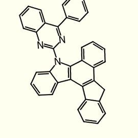 c1ccc(-c2nc(-n3c4ccccc4c4c5c(c6ccccc6c43)Cc3ccccc3-5)nc3ccccc23)cc1